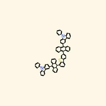 C1=CC2=C(c3ccc4c(c3)c3ccccc3n4-c3ccccc3)c3ccccc3C(c3cccc4c3sc3cc(-c5c6ccccc6c(-c6ccc7c(c6)c6ccccc6n7-c6ccccc6)c6ccccc56)ccc34)C2C=C1